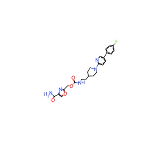 NC(=O)c1coc(COC(=O)NCCC2CCN(c3ccc(-c4ccc(F)cc4)cn3)CC2)n1